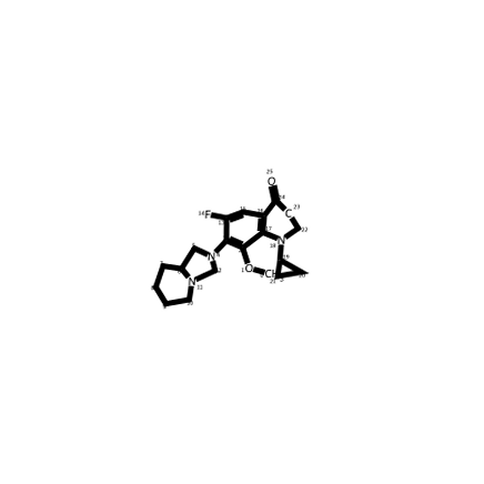 COc1c(N2CC3CCCCN3C2)c(F)cc2c1N(C1CC1)CCC2=O